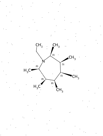 CCN1[C@H](C)[C@H](C)[C@H](C)[C@H](C)[C@H](C)[C@@H]1C